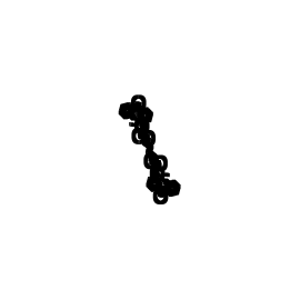 O=C(COc1cccc2c(=O)c3ccccc3sc12)OCCCCOC(=O)COc1cccc2c(=O)c3ccccc3sc12